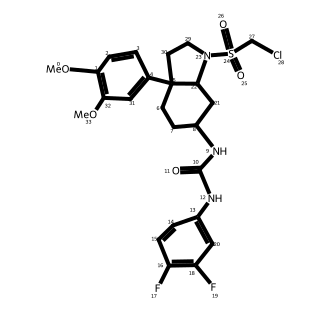 COc1ccc(C23CCC(NC(=O)Nc4ccc(F)c(F)c4)CC2N(S(=O)(=O)CCl)CC3)cc1OC